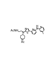 CC(=O)NCCN(c1ncc(-c2cccc(Nc3cc(C)ccn3)n2)s1)C1CCN(C(C)=O)CC1